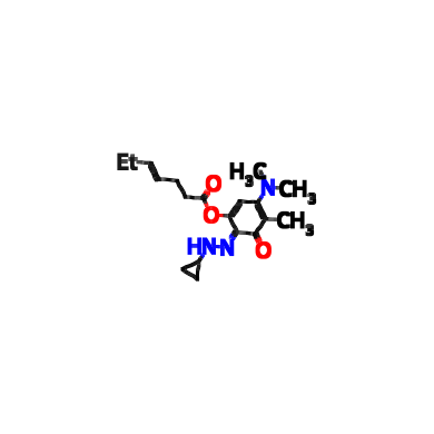 CCC=CCCC(=O)OC1=CC(N(C)C)=C(C)C(=O)C1=NNC1CC1